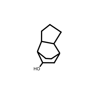 OC1CC2CCC1C1CCCC21